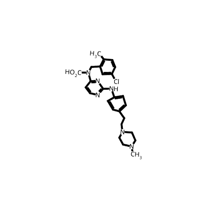 Cc1ccc(Cl)cc1CN(C(=O)O)c1ccnc(Nc2ccc(CCN3CCN(C)CC3)cc2)n1